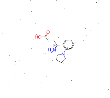 N[C@@H](CCC(=O)O)c1ccccc1N1CCCC1